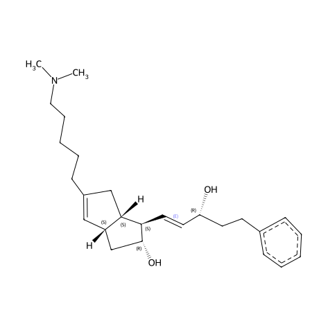 CN(C)CCCCCC1=C[C@H]2C[C@@H](O)[C@H](/C=C/[C@H](O)CCc3ccccc3)[C@H]2C1